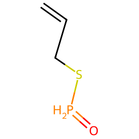 C=CCS[PH2]=O